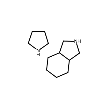 C1CCC2CNCC2C1.C1CCNC1